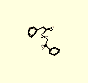 S=C(Cc1ccccc1)SSC(=S)c1ccccc1